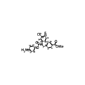 COC(=O)c1ccc(CN(C(=O)Oc2ccc(N)cc2)c2ccc(F)c(Cl)c2)cc1